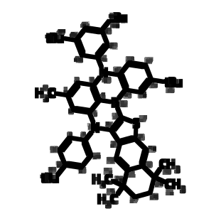 Cc1cc2c3c(c1)N(c1ccc(C(C)(C)C)cc1)c1c(sc4cc5c(cc14)C(C)(C)CCC5(C)C)B3c1cc(C(C)(C)C)ccc1N2c1cc(C(C)(C)C)cc(C(C)(C)C)c1